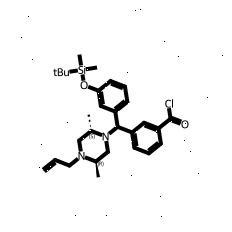 C=CCN1C[C@H](C)N(C(c2cccc(O[Si](C)(C)C(C)(C)C)c2)c2cccc(C(=O)Cl)c2)C[C@H]1C